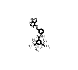 CC(C)(C)c1cc(C(=O)Nc2cccc(CSc3ncnc4[nH]ncc34)c2)cc(C(C)(C)C)c1